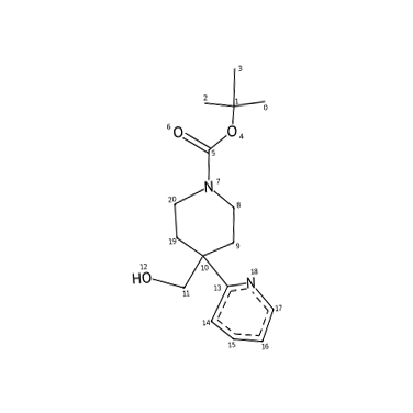 CC(C)(C)OC(=O)N1CCC(CO)(c2ccccn2)CC1